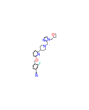 C[C@@H](c1nccn1C[C@@H]1CCO1)N1CCC(c2cccc(OCc3ccc(C#N)cc3F)n2)CC1